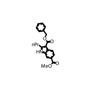 CCCc1[nH]c2cc(C(=O)OC)ccc2c1C(=O)OCc1ccccc1